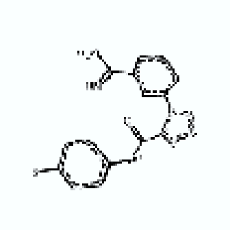 N=C(N)c1cccc(-n2nnnc2C(=O)Nc2ccc(Br)cc2)c1